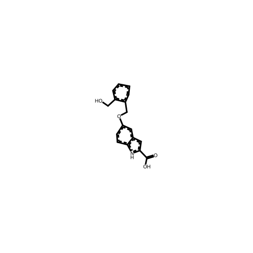 O=C(O)c1cc2cc(OCc3ccccc3CO)ccc2[nH]1